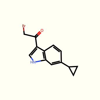 O=C(CBr)c1c[nH]c2cc(C3CC3)ccc12